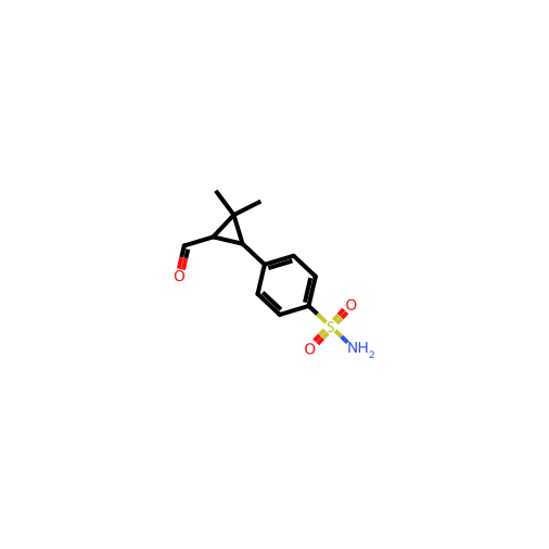 CC1(C)C(C=O)C1c1ccc(S(N)(=O)=O)cc1